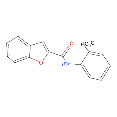 O=C(Nc1ccccc1C(=O)O)c1cc2ccccc2o1